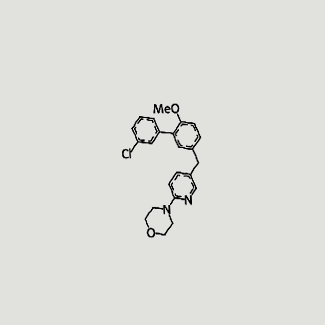 COc1ccc(Cc2ccc(N3CCOCC3)nc2)cc1-c1cccc(Cl)c1